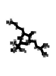 CSCCC(NC(=O)C(C)(C)C)C(=O)NCCN(C)C